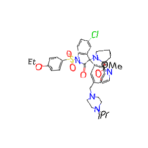 CCOc1ccc(S(=O)(=O)N2C(=O)C(c3cc(CN4CCN(C(C)C)CC4)ccc3OC)(N3CCC[C@H]3c3ncco3)c3cc(Cl)ccc32)cc1